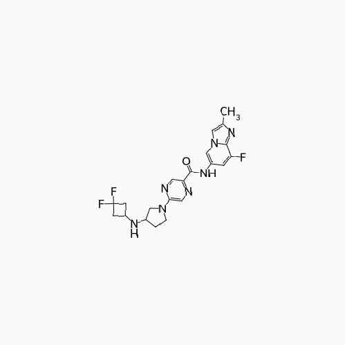 Cc1cn2cc(NC(=O)c3cnc(N4CCC(NC5CC(F)(F)C5)C4)cn3)cc(F)c2n1